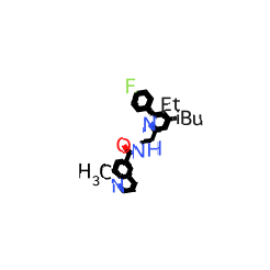 CCc1c(C(C)CC)cc(CCNC(=O)c2cc(C)c3ncccc3c2)nc1-c1ccc(F)cc1